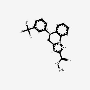 COC(=O)c1nc2n(n1)-c1ccccc1N(c1cccc(C(F)(F)F)c1)C2